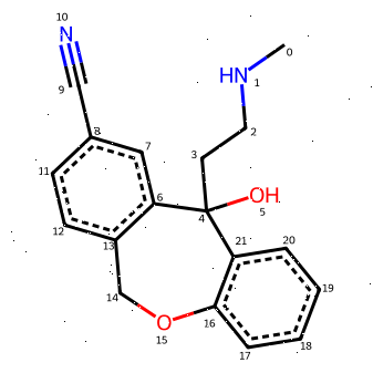 CNCCC1(O)c2cc(C#N)ccc2COc2ccccc21